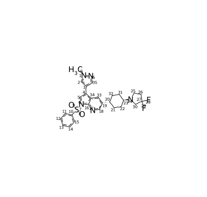 Cn1cc(-c2cn(S(=O)(=O)c3ccccc3)c3ncc([C@H]4CC[C@H](N5CCC(F)(F)C5)CC4)cc23)cn1